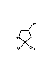 CC1(C)CC(O)CN1